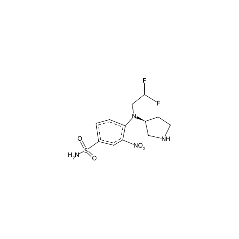 NS(=O)(=O)c1ccc(N(CC(F)F)[C@H]2CCNC2)c([N+](=O)[O-])c1